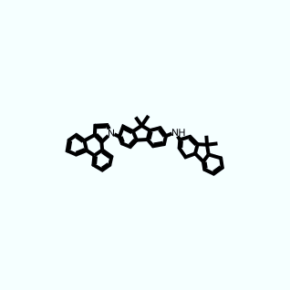 CC1(C)c2cc(NC3=CCC4C5=CC=CCC5C(C)(C)C4=C3)ccc2-c2ccc(-n3ccc4c5ccccc5c5ccccc5c43)cc21